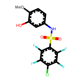 COc1ccc(NS(=O)(=O)c2c(F)c(F)c(Cl)c(F)c2F)cc1O